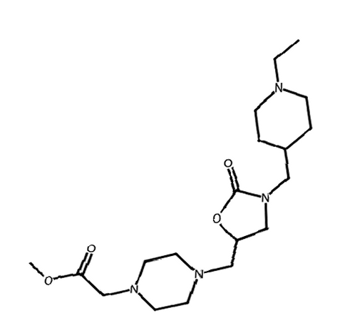 CCN1CCC(CN2CC(CN3CCN(CC(=O)OC)CC3)OC2=O)CC1